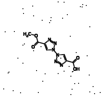 COC(=O)c1cn(-n2cc(C(=O)O)nn2)nn1